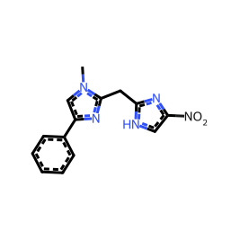 Cn1cc(-c2ccccc2)nc1Cc1nc([N+](=O)[O-])c[nH]1